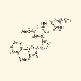 CNc1ncccc1-c1cc(C2CCN2c2nc(Nc3cc(C)[nH]n3)cc(OC)n2)on1